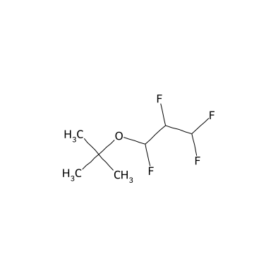 CC(C)(C)OC(F)C(F)C(F)F